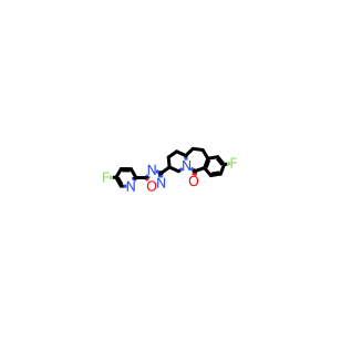 O=C1c2ccc(F)cc2CCC2CCC(c3noc(-c4ccc(F)cn4)n3)CN12